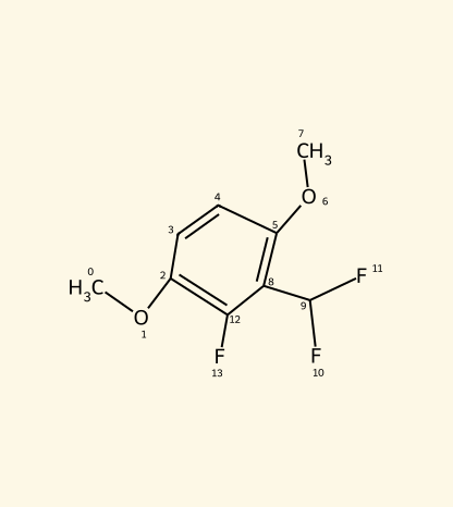 COc1ccc(OC)c(C(F)F)c1F